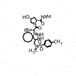 CNC(=O)[C@@H]1C[C@@H](O)CN1C(=O)[C@@H](N1NNC(CN(C)S(=O)(=O)c2ccc(C)cc2)C12CCCCCCC2)C(C)(C)C